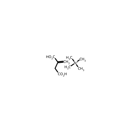 C=C(CC(=O)O)C(=O)O.C[N+](C)(C)C